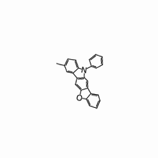 Cc1ccc2c(c1)c1cc3oc4ccccc4c3cc1n2-c1ccccc1